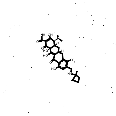 CN(C)[C@@H]1C(O)=C(C(N)=O)C(=O)[C@@]2(O)C(O)=C3C(=O)c4c(O)cc(CNC5(C)CCC5)c(C(F)(F)F)c4C[C@H]3C[C@@H]12